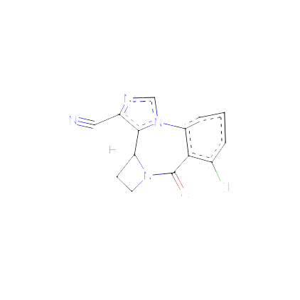 N#Cc1ncn2c1[C@@H]1CCN1C(=O)c1c(Cl)cccc1-2